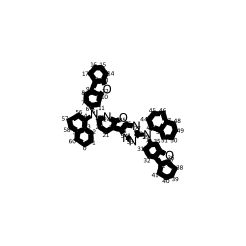 c1ccc2c(N(c3ccc4c(c3)oc3ccccc34)c3ccc4c(n3)oc3nc(N(c5ccc6c(c5)oc5ccccc56)c5cccc6ccccc56)nnc34)cccc2c1